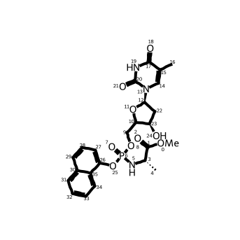 COC(=O)[C@H](C)NP(=O)(OCC1O[C@@H](n2cc(C)c(=O)[nH]c2=O)C[C@H]1O)Oc1cccc2ccccc12